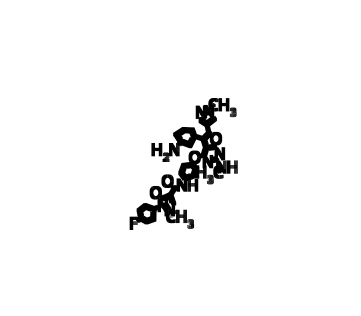 CNc1nc(Oc2ccc(NC(=O)c3cn(C)n(-c4ccc(F)cc4)c3=O)cc2)c2c(-c3cccc(N)c3)c(-c3cnn(C)c3)oc2n1